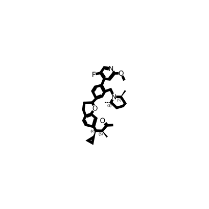 COc1cc(-c2ccc(C3CCc4ccc([C@H](C5CC5)[C@H](C)C(C)=O)cc4O3)cc2CN2[C@@H](C)CCC[C@@H]2C)c(F)cn1